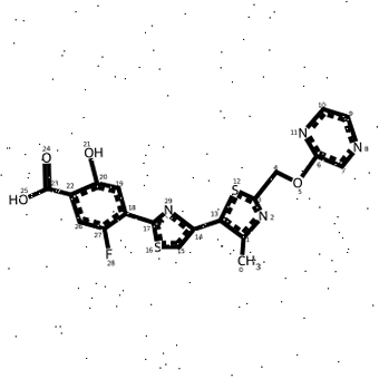 Cc1nc(COc2cnccn2)sc1-c1csc(-c2cc(O)c(C(=O)O)cc2F)n1